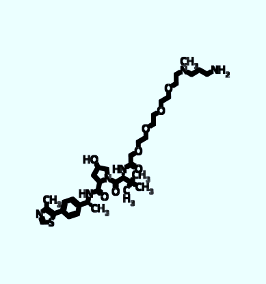 Cc1ncsc1-c1ccc([C@H](C)NC(=O)C2CC(O)CN2C(=O)[C@@H](NC(=O)COCCOCCOCCOCCN(C)CCCN)C(C)(C)C)cc1